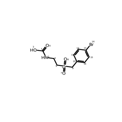 O=C(O)NCCS(=O)(=O)Cc1ccc(Br)cc1